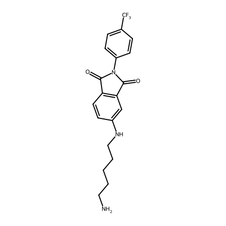 NCCCCCNc1ccc2c(c1)C(=O)N(c1ccc(C(F)(F)F)cc1)C2=O